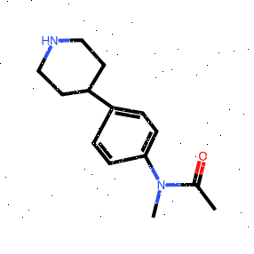 CC(=O)N(C)c1ccc(C2CCNCC2)cc1